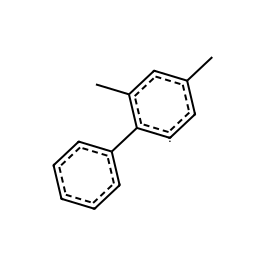 Cc1c[c]c(-c2ccccc2)c(C)c1